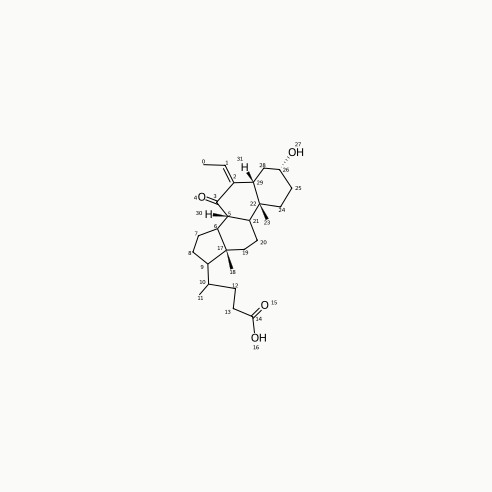 C/C=C1\C(=O)[C@H]2C3CCC(C(C)CCC(=O)O)[C@@]3(C)CCC2[C@@]2(C)CC[C@@H](O)C[C@@H]12